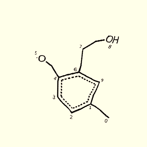 Cc1ccc([O])c(CO)c1